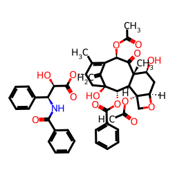 C=C1C2=C(C)[C@@H](OC(=O)[C@H](O)[C@@H](NC(=O)c3ccccc3)c3ccccc3)C[C@@]1(O)[C@@H](OC(=O)c1ccccc1)[C@@H]1[C@]3(OC(C)=O)CO[C@@H]3C[C@H](O)[C@@]1(C)C(=O)[C@@H]2OC(C)=O